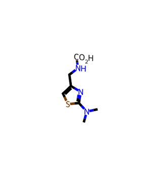 CN(C)c1nc(CNC(=O)O)cs1